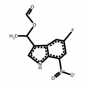 CC(OC=O)c1c[nH]c2c([N+](=O)[O-])cc(F)cc12